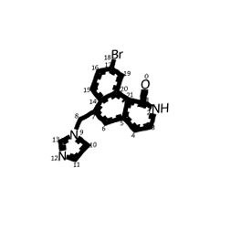 O=c1[nH]ccc2cc(Cn3ccnc3)c3ccc(Br)cc3c12